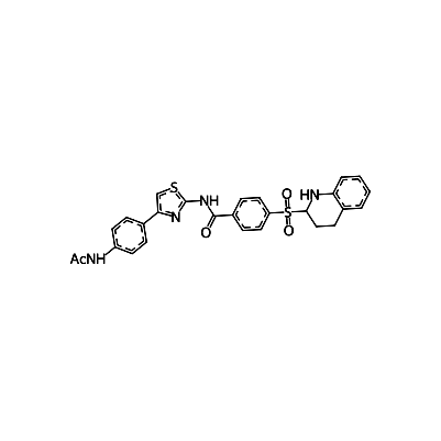 CC(=O)Nc1ccc(-c2csc(NC(=O)c3ccc(S(=O)(=O)C4CCc5ccccc5N4)cc3)n2)cc1